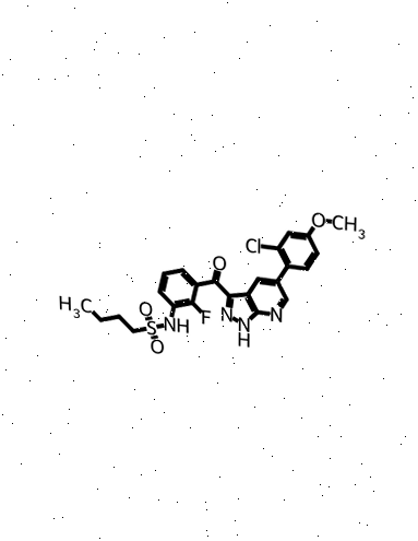 CCCCS(=O)(=O)Nc1cccc(C(=O)c2n[nH]c3ncc(-c4ccc(OC)cc4Cl)cc23)c1F